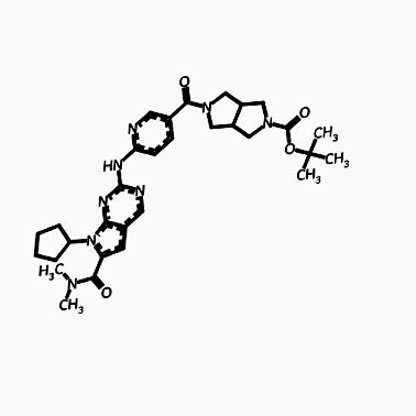 CN(C)C(=O)c1cc2cnc(Nc3ccc(C(=O)N4CC5CN(C(=O)OC(C)(C)C)CC5C4)cn3)nc2n1C1CCCC1